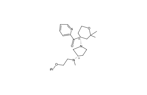 CC(C)OCCN(C)[C@H]1CCN([C@]2(C(=O)c3ccccn3)CCOC(C)(C)C2)C1